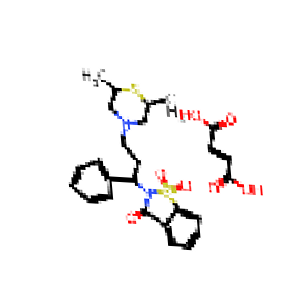 CC1CN(CCC(c2ccccc2)N2C(=O)c3ccccc3S2(=O)=O)CC(C)S1.O=C(O)C=CC(=O)O